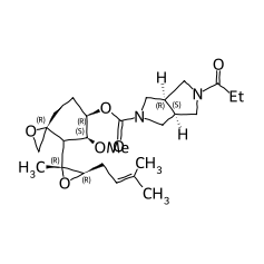 CCC(=O)N1C[C@@H]2CN(C(=O)O[C@@H]3CC[C@]4(CO4)C([C@@]4(C)O[C@@H]4CC=C(C)C)[C@@H]3OC)C[C@@H]2C1